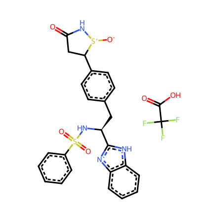 O=C(O)C(F)(F)F.O=C1CC(c2ccc(C[C@H](NS(=O)(=O)c3ccccc3)c3nc4ccccc4[nH]3)cc2)[S+]([O-])N1